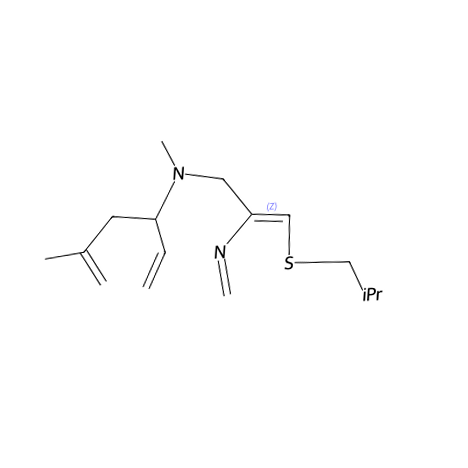 C=CC(CC(=C)C)N(C)C/C(=C/SCC(C)C)N=C